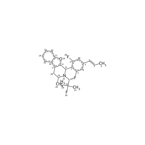 C/C=C/c1cc(F)c(C2c3oc4ccccc4c3CC(C)N2CC(C)(C)F)c(F)c1